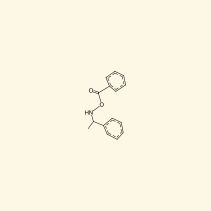 CC(NOC(=O)c1ccccc1)c1ccccc1